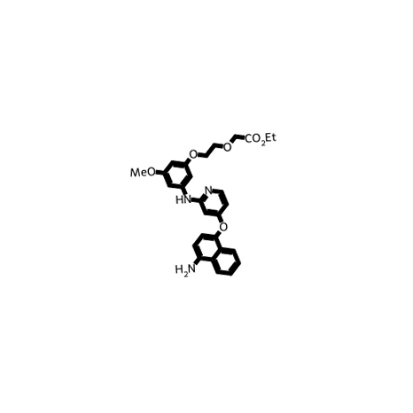 CCOC(=O)COCCOc1cc(Nc2cc(Oc3ccc(N)c4ccccc34)ccn2)cc(OC)c1